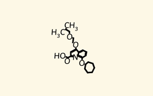 CC(C)COCCOc1cc(C(=O)O)nc2c(OC3CCCCCC3)cccc12